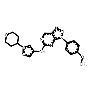 COc1ccc(-n2nnc3cnc(Nc4cnn(C5CCOCC5)c4)nc32)cc1